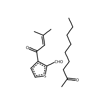 CC(C)=CC(=O)c1ccsc1C=O.CCCCCCCC(C)=O